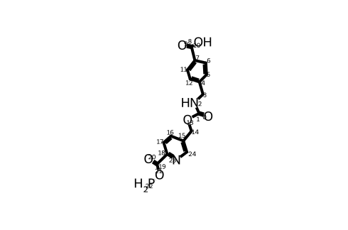 O=C(NCc1ccc(C(=O)O)cc1)OCc1ccc(C(=O)OP)nc1